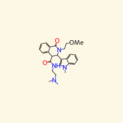 COCCN1C(=O)c2ccccc2C(C(=O)NCCN(C)C)C1c1cn(C)c2ccccc12